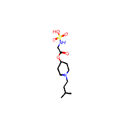 CC(C)CCN1CCC(OC(=O)CNS(=O)(=O)O)CC1